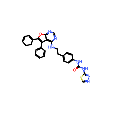 O=C(Nc1ccc(CCNc2ncnc3oc(C4=CC=CCC4)c(-c4ccccc4)c23)cc1)Nc1nncs1